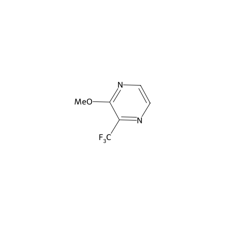 COc1nccnc1C(F)(F)F